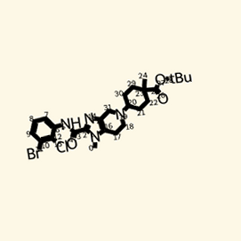 Cn1c(C(=O)Nc2cccc(Br)c2Cl)nc2c1CCN(C1CCC(C)(C(=O)OC(C)(C)C)CC1)C2